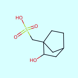 O=S(=O)(O)CC12CCC(CC1O)C2